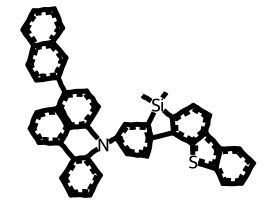 C[Si]1(C)c2cc(N(c3ccc(-c4ccc5ccccc5c4)cc3)c3ccccc3-c3ccccc3)ccc2-c2c1ccc1c2sc2ccccc21